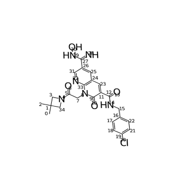 CC1(C)CN(C(=O)Cn2c(=O)c(C(=O)NCc3ccc(Cl)cc3)cc3cc(C(=N)NO)cnc32)C1